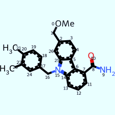 COCc1c[c]c2c3c(C(N)=O)cccc3n(Cc3ccc(C)c(C)c3)c2c1